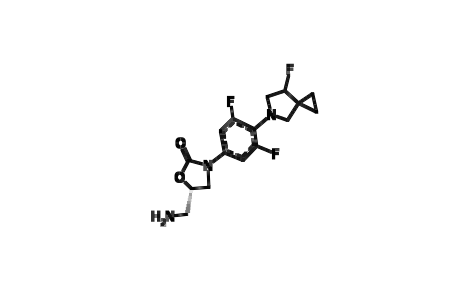 NC[C@H]1CN(c2cc(F)c(N3CC(F)C4(CC4)C3)c(F)c2)C(=O)O1